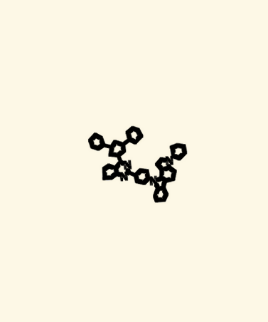 c1ccc(-c2cc(-c3ccccc3)cc(-c3nc(-c4ccc(-n5c6ccccc6c6ccc7c(ccn7-c7ccccc7)c65)cc4)nc4ccccc34)c2)cc1